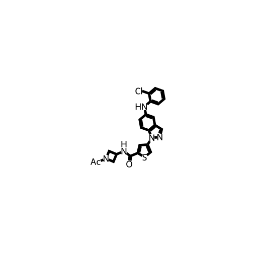 CC(=O)N1CC(NC(=O)c2cc(-n3ncc4cc(Nc5ccccc5Cl)ccc43)cs2)C1